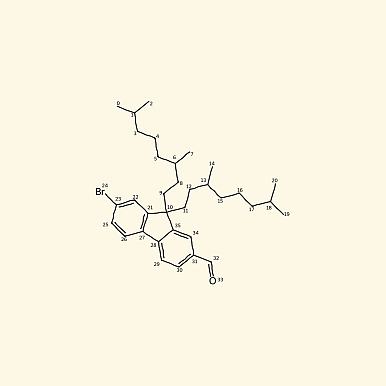 CC(C)CCCC(C)CCC1(CCC(C)CCCC(C)C)c2cc(Br)ccc2-c2ccc(C=O)cc21